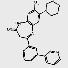 O=C1CC(c2cccc(-c3cccnc3)c2)=Nc2cc(N3CCOCC3)c(C(F)(F)F)cc2N1